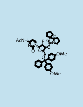 COc1ccc(C(OC[C@H]2O[C@@H](n3ccc(NC(C)=O)nc3=O)[C@H](F)[C@@H]2O[P@@]2OC3(CCCC3)[C@H]3CCCN32)(c2ccccc2)c2ccc(OC)cc2)cc1